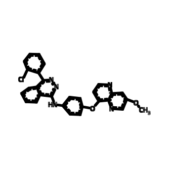 COc1cnc2c(Oc3ccc(Nc4nnc(-c5ccccc5Cl)c5ccccc45)cc3)ccnc2c1